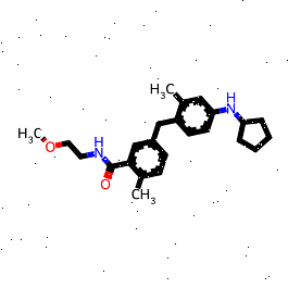 COCCNC(=O)c1cc(Cc2ccc(NC3CCCC3)cc2C)ccc1C